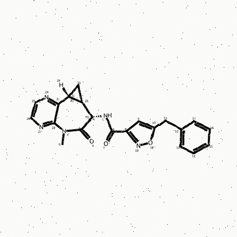 CN1C(=O)[C@@H](NC(=O)c2cc(Cc3ccccc3)on2)C2C[C@H]2c2nccnc21